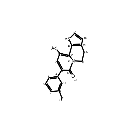 CC(=O)c1cc(-c2cccc(F)c2)c(=O)n2c1-c1sccc1CC2